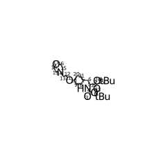 CC(C)(C)OC(=O)NC(Cc1ccc(OCCN2CCOCC2)cc1)C(=O)OC(C)(C)C